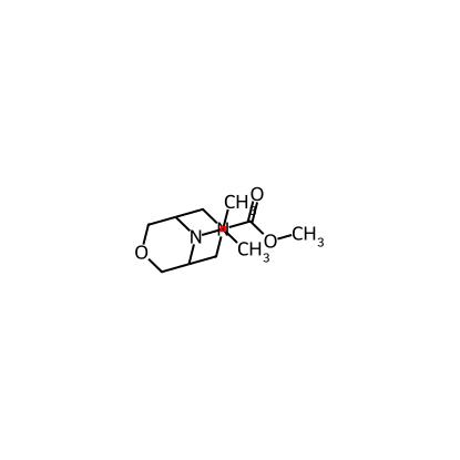 COC(=O)N1CC2COCC(C1)N2C(C)C